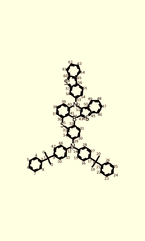 CC(C)(c1ccccc1)c1ccc(N(c2ccc(C(C)(C)c3ccccc3)cc2)c2ccc3c(c2)Sc2cccc4c2B3c2sc3ccccc3c2N4c2ccc3c(c2)sc2ccccc23)cc1